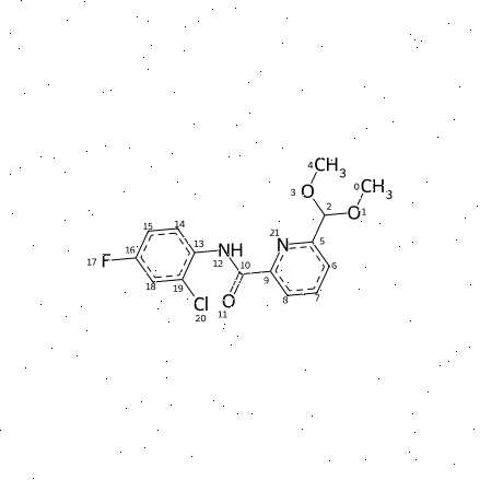 COC(OC)c1cccc(C(=O)Nc2ccc(F)cc2Cl)n1